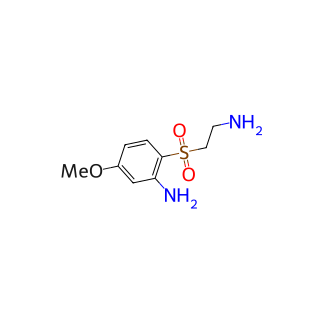 COc1ccc(S(=O)(=O)CCN)c(N)c1